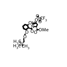 COC(=O)[C@@H]1CC(OS(=O)(=O)C(F)(F)F)=CN1C(=O)c1c(O)cccc1OCOCC[Si](C)(C)C